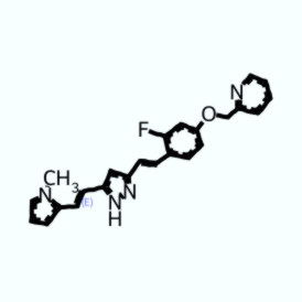 Cn1cccc1/C=C/c1cc(C=Cc2ccc(OCc3ccccn3)cc2F)n[nH]1